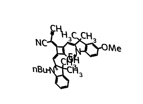 C#C/C(C#N)=C1C(/C=C2\N(CC)c3ccc(OC)cc3C2(C)C)=C(O)C\1=C/C1=[N+](CCCC)c2ccccc2C1(C)C